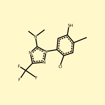 Cc1cc(Cl)c(-n2nc(C(F)(F)F)nc2N(C)C)cc1S